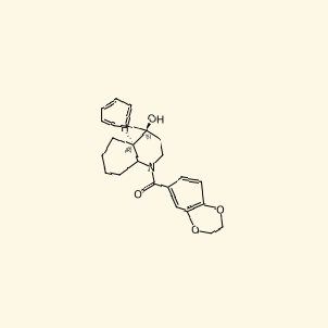 O=C(c1ccc2c(c1)OCCO2)N1CC[C@@](O)(c2ccccc2)[C@@H]2CCCCC21